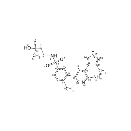 Cc1ccc(S(=O)(=O)NCCC(C)(C)O)cc1-c1cnc(N)c(-c2c[nH]nc2C)n1